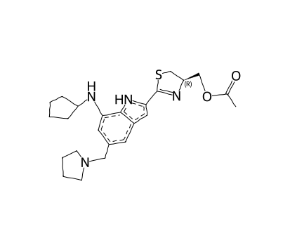 CC(=O)OC[C@@H]1CSC(c2cc3cc(CN4CCCC4)cc(NC4CCCC4)c3[nH]2)=N1